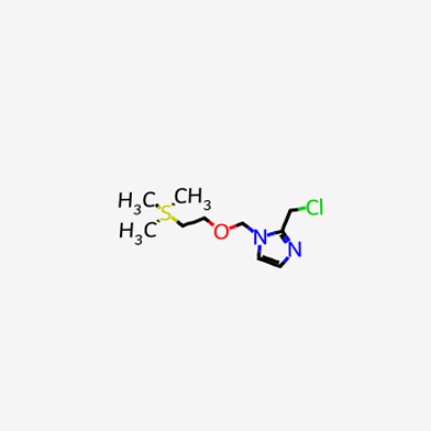 CS(C)(C)CCOCn1ccnc1CCl